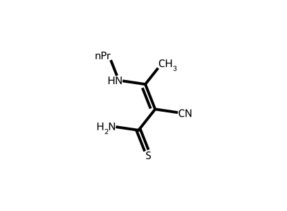 CCCN/C(C)=C(/C#N)C(N)=S